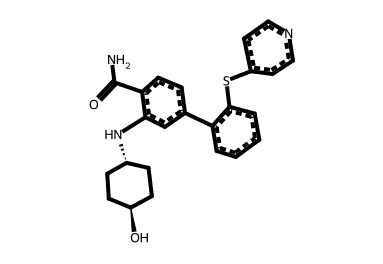 NC(=O)c1ccc(-c2ccccc2Sc2ccncc2)cc1N[C@H]1CC[C@H](O)CC1